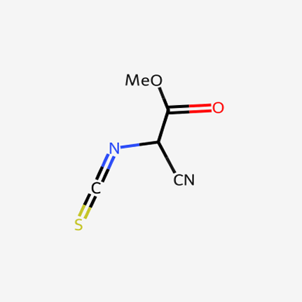 COC(=O)C(C#N)N=C=S